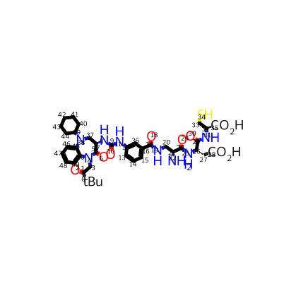 CC(C)(C)C(=O)CN1C(=O)[C@H](NC(=O)Nc2cccc(C(=O)NC[C@H](N)C(=O)N[C@@H](CC(=O)O)C(=O)N[C@@H](CS)C(=O)O)c2)CN(C2CCCCC2)c2ccccc21